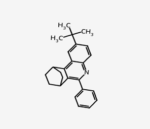 CC(C)(C)c1ccc2nc(-c3ccccc3)c3c(c2c1)C1CCC3CC1